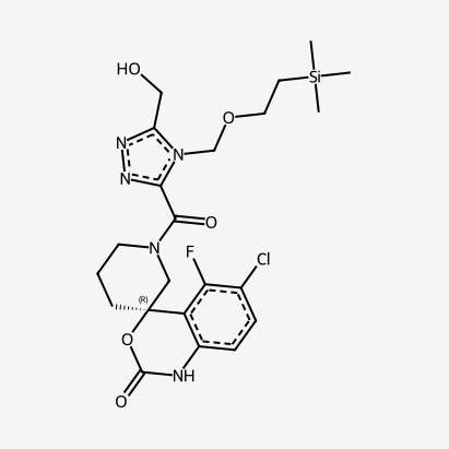 C[Si](C)(C)CCOCn1c(CO)nnc1C(=O)N1CCC[C@@]2(C1)OC(=O)Nc1ccc(Cl)c(F)c12